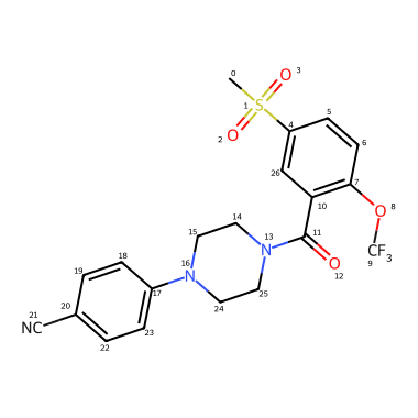 CS(=O)(=O)c1ccc(OC(F)(F)F)c(C(=O)N2CCN(c3ccc(C#N)cc3)CC2)c1